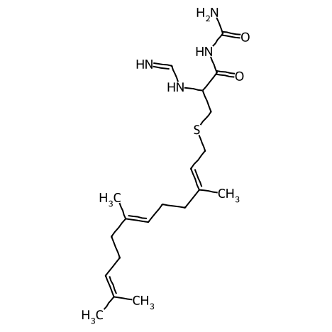 CC(C)=CCCC(C)=CCCC(C)=CCSCC(NC=N)C(=O)NC(N)=O